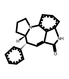 O=C1Nc2cccc3c2C1=C[C@H](c1ccccc1)[C@@H]1CCCN31